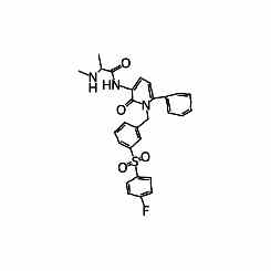 CNC(C)C(=O)Nc1ccc(-c2ccccc2)n(Cc2cccc(S(=O)(=O)c3ccc(F)cc3)c2)c1=O